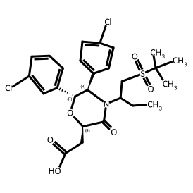 CCC(CS(=O)(=O)C(C)(C)C)N1C(=O)[C@@H](CC(=O)O)O[C@H](c2cccc(Cl)c2)[C@H]1c1ccc(Cl)cc1